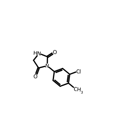 Cc1ccc(N2C(=O)CNC2=O)cc1Cl